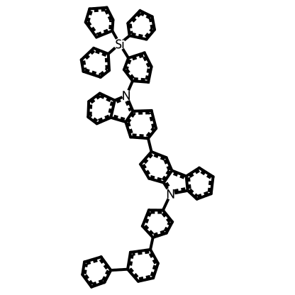 c1ccc(-c2cccc(-c3ccc(-n4c5ccccc5c5cc(-c6ccc7c(c6)c6ccccc6n7-c6cccc([Si](c7ccccc7)(c7ccccc7)c7ccccc7)c6)ccc54)cc3)c2)cc1